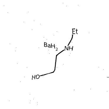 CCNCCO.[BaH2]